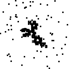 C/C=C\N=C(/COc1cnc(C(F)(F)F)nc1)C(CCC)CCC